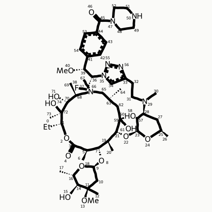 CC[C@H]1OC(=O)[C@H](C)[C@@H](O[C@H]2C[C@@](C)(OC)[C@@H](O)[C@H](C)O2)[C@H](C)[C@@H](O[C@@H]2O[C@H](C)C[C@H](N(C)CCc3cn([C@H](CF)[C@H](OC)c4ccc(C(=O)N5CCNCC5)cc4)nn3)[C@H]2O)[C@](C)(O)C[C@@H](C)CN(C)[C@H](C)[C@@H](O)[C@]1(C)O